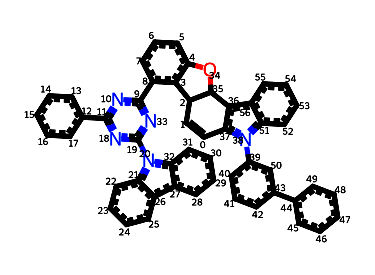 C1=CC2c3c(cccc3-c3nc(-c4ccccc4)nc(-n4c5ccccc5c5ccccc54)n3)OC2c2c1n(-c1cccc(-c3ccccc3)c1)c1ccccc21